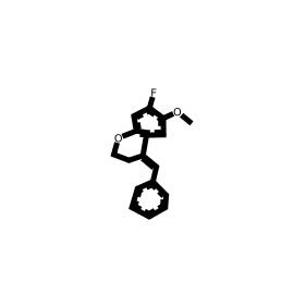 COc1cc2c(cc1F)OCCC2=Cc1ccccc1